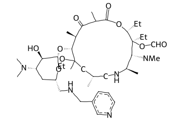 CCOC1(C)C[C@@H](C)CN[C@H](C)[C@@H](NC)[C@](CC)(OC=O)[C@@H](CC)OC(=O)C(C)C(=O)[C@H](C)[C@H]1O[C@@H]1O[C@H](CNCc2cccnc2)C[C@H](N(C)C)[C@H]1O